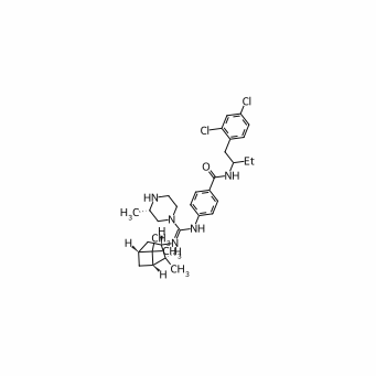 CCC(Cc1ccc(Cl)cc1Cl)NC(=O)c1ccc(N/C(=N/[C@H]2C[C@H]3C[C@@H]([C@@H]2C)C3(C)C)N2CCN[C@@H](C)C2)cc1